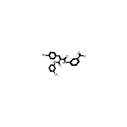 CCC(=O)c1cccc(NC(=O)C(=Cc2ccc(C(C)C)cc2)C(=O)Nc2cccc(C(F)(F)F)c2)c1